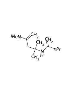 C=C(CC(C)(C)NC(=C)CCC)NC